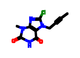 CC#CCn1c(Cl)nc2c1c(=O)[nH]c(=O)n2C